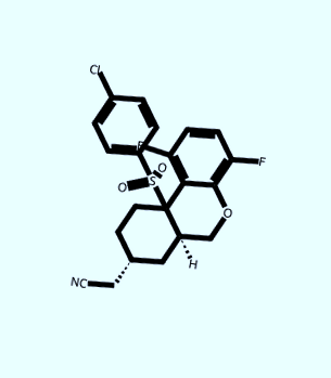 N#CC[C@@H]1CCC2(S(=O)(=O)c3ccc(Cl)cc3)c3c(F)ccc(F)c3OC[C@H]2C1